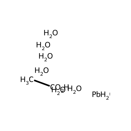 CC(=O)O.O.O.O.O.O.O.[PbH2]